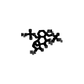 C=C1C=C2C[C@]3(C1=O)C(=O)C(=C)C1[C@](C)(COS(C)(=O)=O)CCC[C@@]1(COS(C)(=O)=O)C23